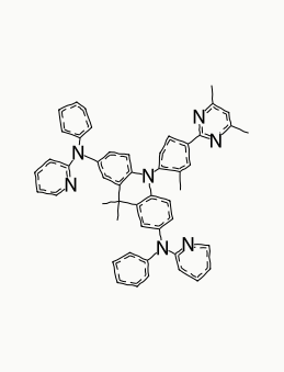 Cc1cc(C)nc(-c2ccc(N3c4ccc(N(c5ccccc5)c5ccccn5)cc4C(C)(C)c4cc(N(c5ccccc5)c5ccccn5)ccc43)c(C)c2)n1